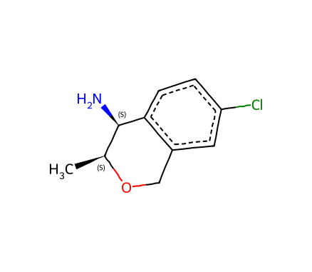 C[C@@H]1OCc2cc(Cl)ccc2[C@@H]1N